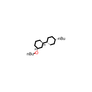 CCCCO[C@@H]1CCC[C@@H]([C@H]2CC[C@@H](CCCC)CC2)C1